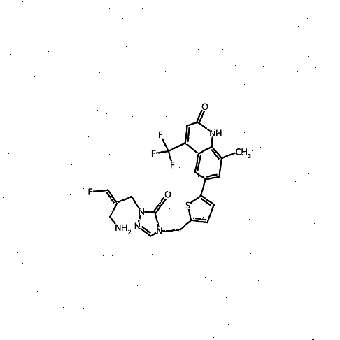 Cc1cc(-c2ccc(Cn3cnn(C/C(=C/F)CN)c3=O)s2)cc2c(C(F)(F)F)cc(=O)[nH]c12